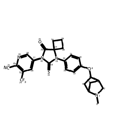 CN1CC2CC1CC2Oc1ccc(N2C(=S)N(c3cnc(C#N)c(C(F)(F)F)c3)C(=O)C23CCC3)cc1